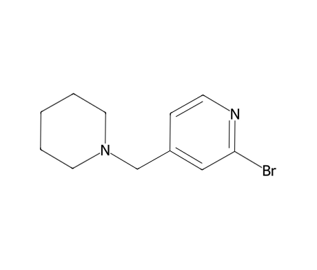 Brc1cc(CN2CCCCC2)ccn1